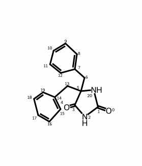 O=C1NC(=O)C(Cc2ccccc2)(Cc2ccccc2)N1